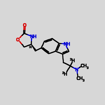 [2H]C([2H])(Cc1c[nH]c2ccc(C[C@H]3COC(=O)N3)cc12)N(C)C